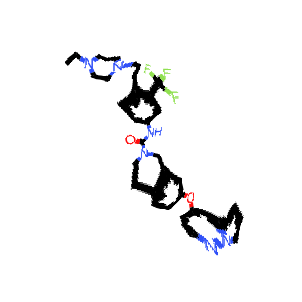 CCN1CCN(Cc2ccc(NC(=O)N3CCc4ccc(Oc5ccnn6cccc56)cc4C3)cc2C(F)(F)F)CC1